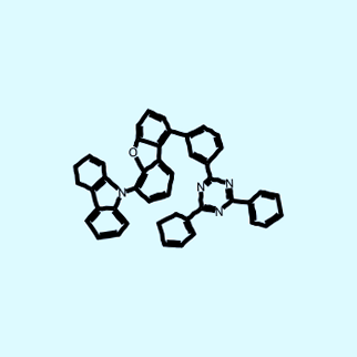 C1=CCCC(c2nc(-c3ccccc3)nc(-c3cccc(-c4cccc5oc6c(-n7c8c(c9ccccc97)CCC=C8)cccc6c45)c3)n2)=C1